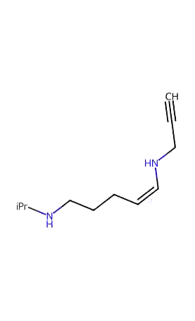 C#CCN/C=C\CCCNC(C)C